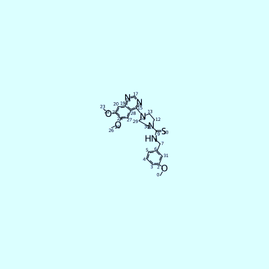 COc1cccc(CNC(=S)N2CCN(c3ncnc4cc(OC)c(OC)cc34)CC2)c1